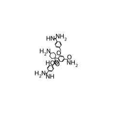 N=C(N)c1ccc(COc2cc(C(N)=O)cc(OCc3ccc(C(=N)N)cc3)c2C2(C(=O)O)CCC(N)CC2)cc1